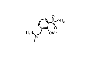 COc1c(C[C@@H](C)N)cccc1S(N)(=O)=O